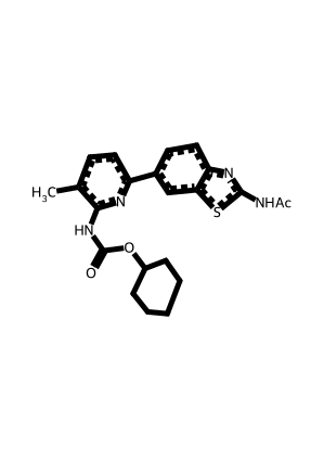 CC(=O)Nc1nc2ccc(-c3ccc(C)c(NC(=O)OC4CCCCC4)n3)cc2s1